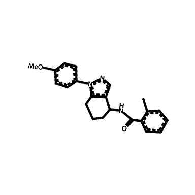 COc1ccc(-n2ncc3c2CCCC3NC(=O)c2ccccc2C)cc1